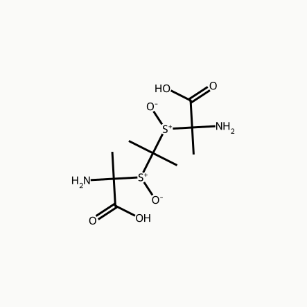 CC(N)(C(=O)O)[S+]([O-])C(C)(C)[S+]([O-])C(C)(N)C(=O)O